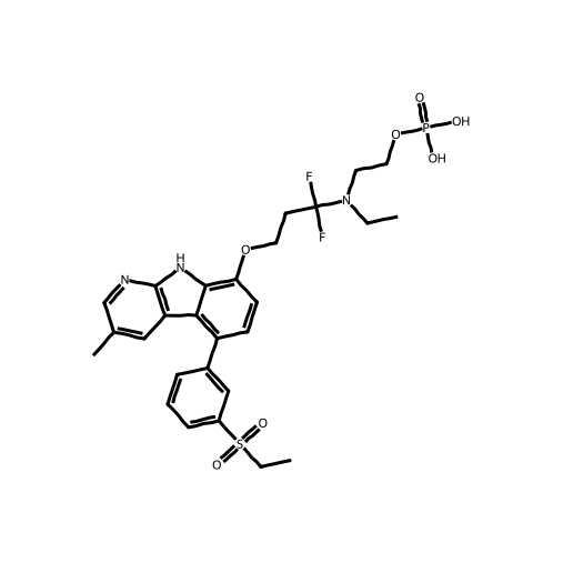 CCN(CCOP(=O)(O)O)C(F)(F)CCOc1ccc(-c2cccc(S(=O)(=O)CC)c2)c2c1[nH]c1ncc(C)cc12